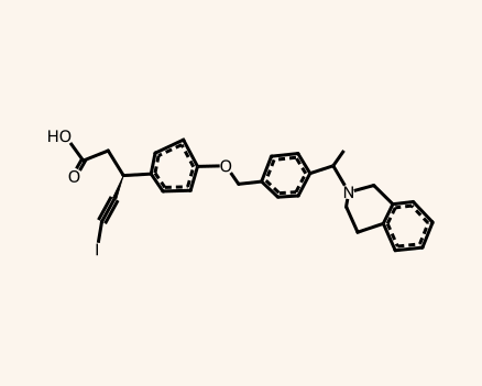 CC(c1ccc(COc2ccc([C@@H](C#CI)CC(=O)O)cc2)cc1)N1CCc2ccccc2C1